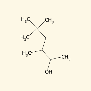 CC(O)C(C)CC(C)(C)C